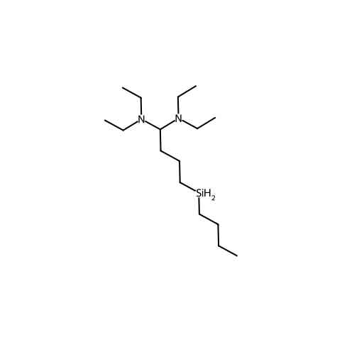 CCCC[SiH2]CCCC(N(CC)CC)N(CC)CC